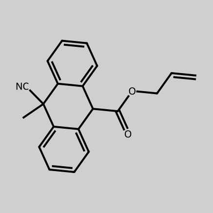 C=CCOC(=O)C1c2ccccc2C(C)(C#N)c2ccccc21